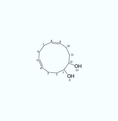 OC1CC/C=C\CC/C=C\CCC1O